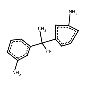 CC(c1cccc(N)c1)(c1cccc(N)c1)C(F)(F)F